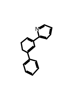 C1=C(c2ccccc2)CCC=C1c1ccccn1